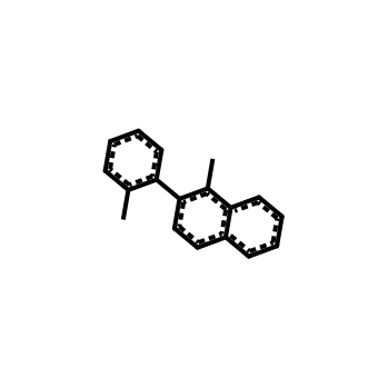 Cc1ccccc1-c1ccc2ccccc2c1C